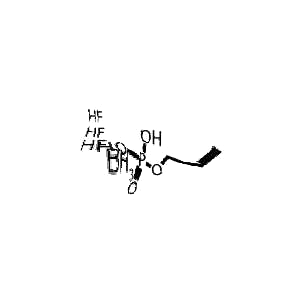 B.C=CCOP(=O)(O)O.F.F.F